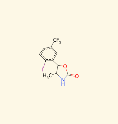 CC1NC(=O)OC1c1cc(C(F)(F)F)ccc1I